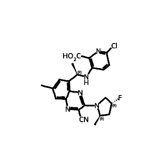 Cc1cc([C@@H](C)Nc2ccc(Cl)nc2C(=O)O)c2nc(N3C[C@H](F)C[C@H]3C)c(C#N)nc2c1